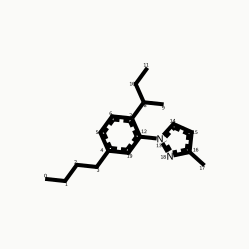 CCCCc1ccc(C(C)CC)c(-n2ccc(C)n2)c1